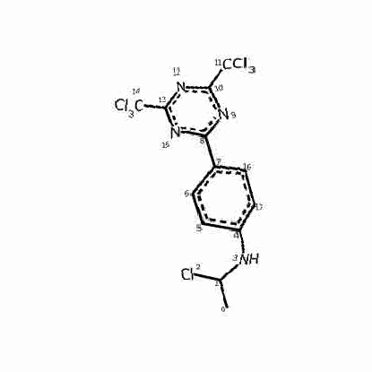 CC(Cl)Nc1ccc(-c2nc(C(Cl)(Cl)Cl)nc(C(Cl)(Cl)Cl)n2)cc1